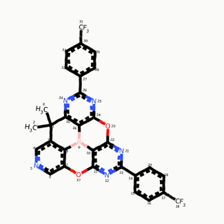 CC1(C)c2cncc3c2B2c4c(nc(-c5ccc(C(F)(F)F)cc5)nc4Oc4nc(-c5ccc(C(F)(F)F)cc5)nc1c42)O3